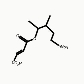 CCCCCCCCCCCC(C)C(C)OC(=O)C=CC(=O)O